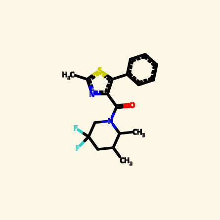 Cc1nc(C(=O)N2CC(F)(F)CC(C)C2C)c(-c2ccccc2)s1